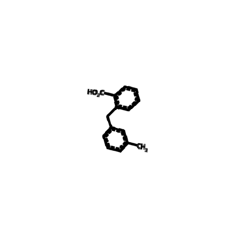 Cc1cccc(Cc2ccccc2C(=O)O)c1